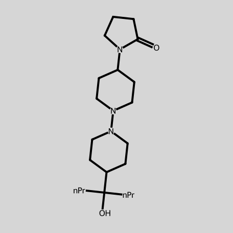 CCCC(O)(CCC)C1CCN(N2CCC(N3CCCC3=O)CC2)CC1